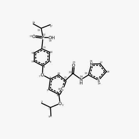 CC(C)Oc1cc(Oc2ccc(P(=O)(O)C(C)C)cc2)cc(C(=O)Nc2nccs2)c1